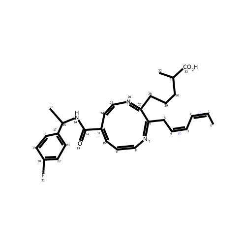 C/C=C\C=C/Cc1ncccc(C(=O)NC(C)c2ccc(F)cc2)ccnc1CCCC(C)C(=O)O